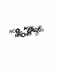 N#Cc1cccc(S(=O)(=O)N[C@H]2CC[C@H](Nc3cc(NC4CC4)n4ncc(/C=C5\NC(=O)NC5=O)c4n3)CC2)c1